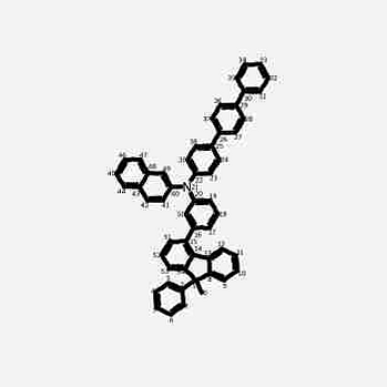 CC1(c2ccccc2)c2ccccc2-c2c(-c3cccc(N(c4ccc(-c5ccc(-c6ccccc6)cc5)cc4)c4ccc5ccccc5c4)c3)cccc21